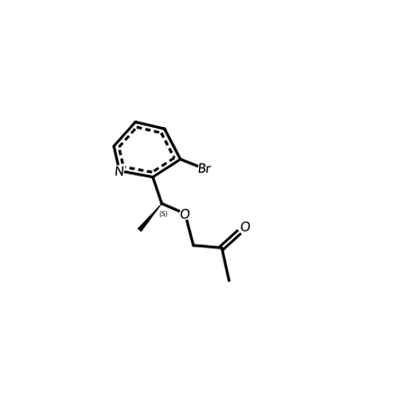 CC(=O)CO[C@@H](C)c1ncccc1Br